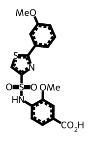 COc1cccc(-c2nc(S(=O)(=O)Nc3ccc(C(=O)O)cc3OC)cs2)c1